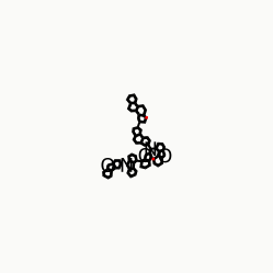 c1cc(-c2cccc3c2c2ccccc2n3-c2ccc3oc4ccccc4c3c2)c2oc(N(c3ccc4c(ccc5ccc(-c6ccc7ccc8c9ccccc9ccc8c7c6)cc54)c3)c3cccc4oc5ccccc5c34)cc2c1